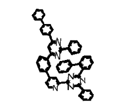 c1ccc(-c2ccc(-c3cc(-c4cccc(-c5ccnc(-c6nc(-c7ccccc7)nc(-c7ccccc7-c7ccccc7)n6)c5)c4)nc(-c4ccccc4)n3)cc2)cc1